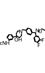 CC(=O)Nc1cccc(C2(O)CCN(Cc3ccc(C(=NOCCF)c4ccc(F)c(F)c4)cc3)CC2)c1